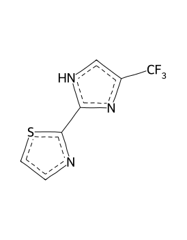 FC(F)(F)c1c[nH]c(-c2nccs2)n1